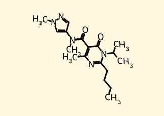 CCCCc1nc(C)c(C(=O)N(C)c2cnn(C)c2)c(=O)n1C(C)C